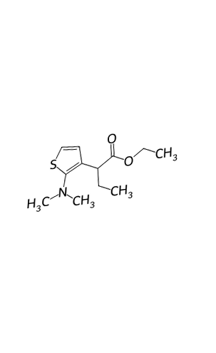 CCOC(=O)C(CC)c1ccsc1N(C)C